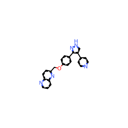 c1cnc2ccc(COc3ccc(-c4n[nH]cc4-c4ccncc4)cc3)nc2c1